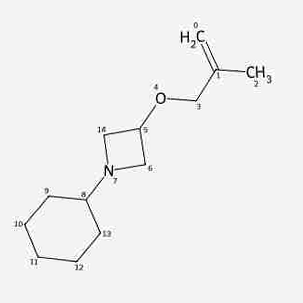 C=C(C)COC1CN(C2CCCCC2)C1